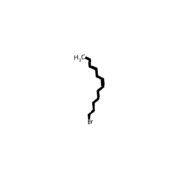 CCCCC/C=C\CCCCCBr